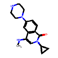 CNc1cn(C2CC2)c(=O)c2ccc(N3CCNCC3)cc12